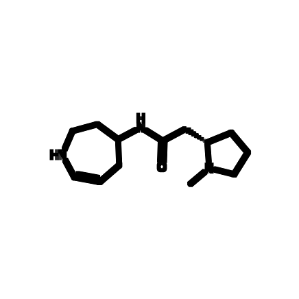 CN1CCC[C@H]1CC(=O)NC1CC=CNCC1